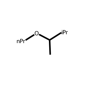 C[CH]COC(C)C(C)C